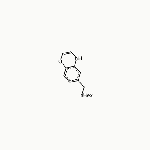 CCCCCCCc1ccc2c(c1)NC=CO2